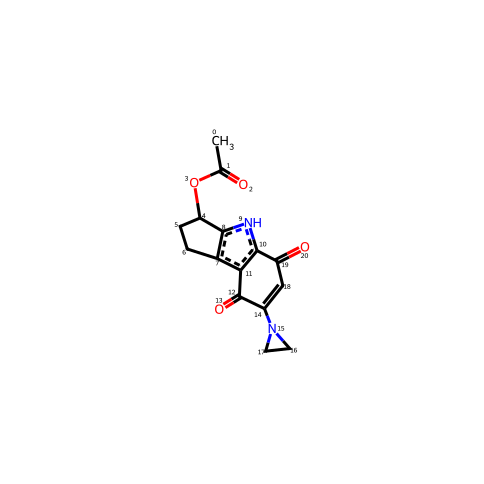 CC(=O)OC1CCc2c1[nH]c1c2C(=O)C(N2CC2)=CC1=O